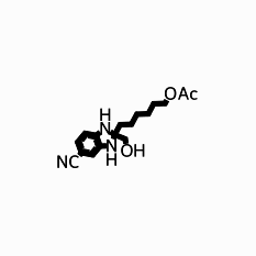 CC(=O)OCCCCCCC1(CO)Nc2ccc(C#N)cc2N1